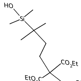 CCOC(=O)C(CO)(CCC(C)(C)[Si](C)(C)O)C(=O)OCC